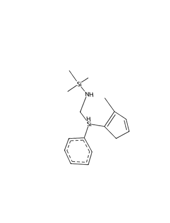 CC1=C([SiH](CN[Si](C)(C)C)c2ccccc2)CC=C1